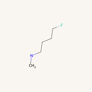 C[N]CCCCF